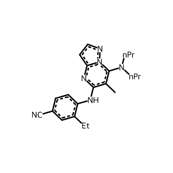 CCCN(CCC)c1c(C)c(Nc2ccc(C#N)cc2CC)nc2ccnn12